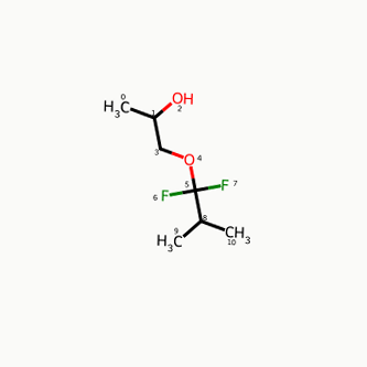 CC(O)COC(F)(F)C(C)C